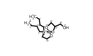 CCCC[N+]1(CCCC)CCO[B-]12OCC(CO)O2